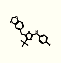 CC(C)(C)c1nc(Nc2ccc(F)cc2)sc1Cc1ccc2c(c1)OCO2